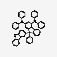 c1ccc(N(c2ccccc2)c2cc(N(c3ccccc3)c3ccccc3)c3c(c2)C(c2ccccc2)(c2ccc4oc5ccccc5c4c2)c2ccccc2-3)cc1